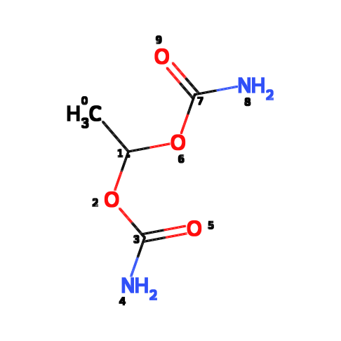 C[C](OC(N)=O)OC(N)=O